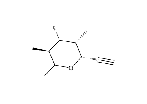 C#C[C@@H]1OC(C)[C@@H](C)[C@H](C)[C@@H]1C